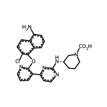 Nc1cccc2c(Oc3ncccc3-c3ccnc(N[C@H]4CCCN(C(=O)O)C4)n3)c(Cl)ccc12